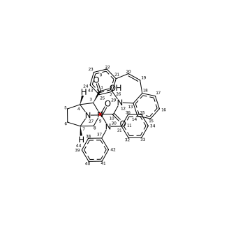 O=C(O)[C@@H]1[C@H]2CC[C@@H](CN1C(=O)N1c3ccccc3C=Cc3ccccc31)N2C(=O)N(c1ccccc1)c1ccccc1